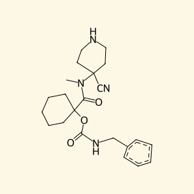 CN(C(=O)C1(OC(=O)NCc2ccccc2)CCCCC1)C1(C#N)CCNCC1